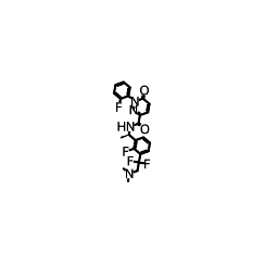 C[C@@H](NC(=O)c1ccc(=O)n(-c2ccccc2F)n1)c1cccc(C(F)(F)CN(C)C)c1F